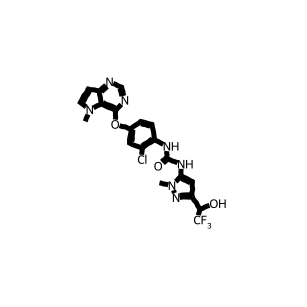 Cn1nc(C(O)C(F)(F)F)cc1NC(=O)Nc1ccc(Oc2ncnc3ccn(C)c23)cc1Cl